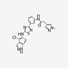 Cn1cc(CC(=O)Nc2cccc(-c3nsc(Nc4ccc5[nH]ncc5c4Cl)n3)c2)cn1